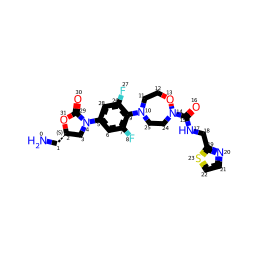 NC[C@H]1CN(c2cc(F)c(N3CCON(C(=O)NCc4nccs4)CC3)c(F)c2)C(=O)O1